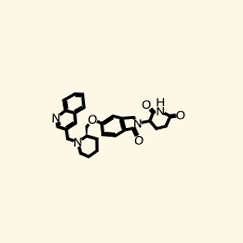 O=C1CCC(N2Cc3cc(OC[C@H]4CCCCN4Cc4cnc5ccccc5c4)ccc3C2=O)C(=O)N1